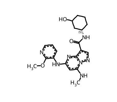 CNc1cc(Nc2cccnc2OC)nc2c(C(=O)N[C@H]3CCCC(O)C3)cnn12